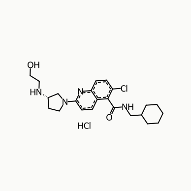 Cl.O=C(NCC1CCCCC1)c1c(Cl)ccc2nc(N3CC[C@H](NCCO)C3)ccc12